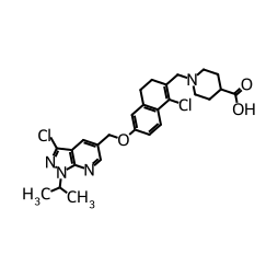 CC(C)n1nc(Cl)c2cc(COc3ccc4c(c3)CCC(CN3CCC(C(=O)O)CC3)=C4Cl)cnc21